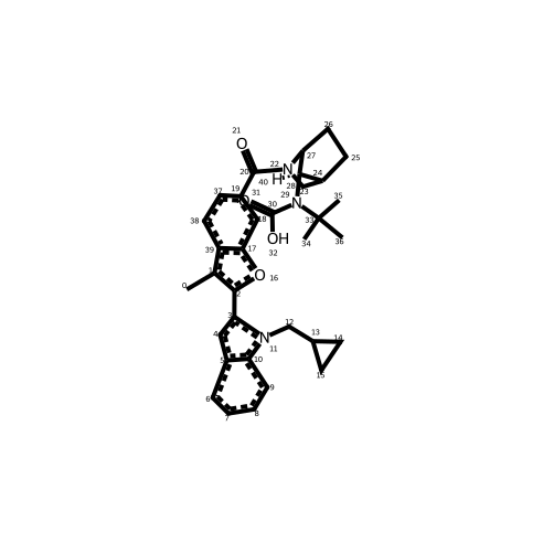 Cc1c(-c2cc3ccccc3n2CC2CC2)oc2cc(C(=O)N3CC4CCC3[C@@H]4N(C(=O)O)C(C)(C)C)ccc12